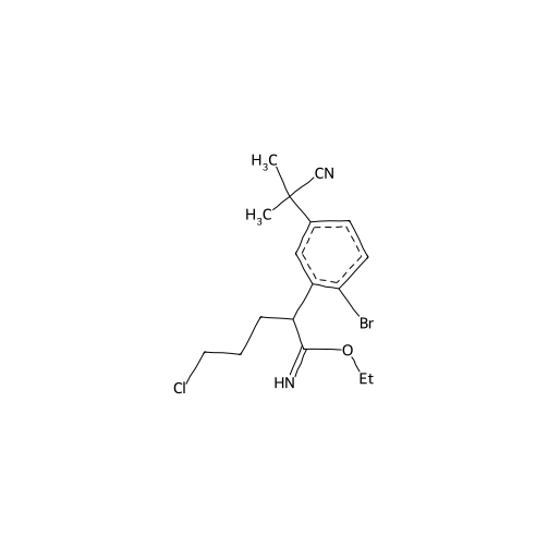 CCOC(=N)C(CCCCl)c1cc(C(C)(C)C#N)ccc1Br